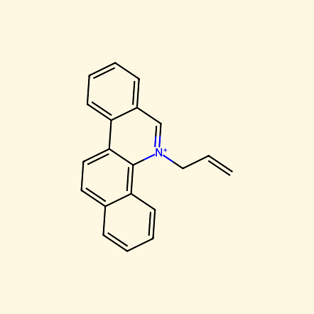 C=CC[n+]1cc2ccccc2c2ccc3ccccc3c21